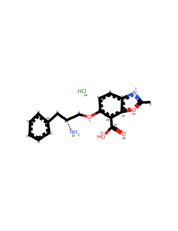 Cc1nc2ccc(OC[C@H](N)Cc3ccccc3)c(C(=O)O)c2o1.Cl